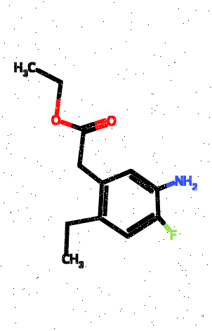 CCOC(=O)Cc1cc(N)c(F)cc1CC